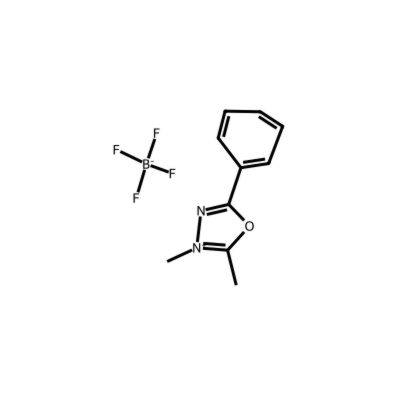 Cc1oc(-c2ccccc2)n[n+]1C.F[B-](F)(F)F